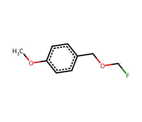 COc1ccc(CO[CH]F)cc1